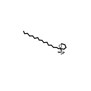 CCCCCCCCCCCCCCCCC1([Si](C)(C)C)CCCCO1